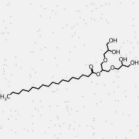 CCCCCCCCCCCCCCCCCC(=O)OC(COCC(O)CO)COCC(O)CO